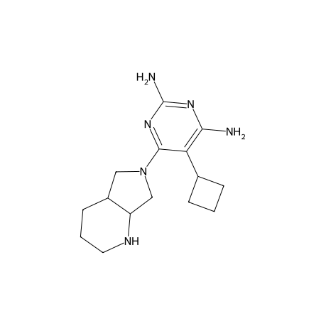 Nc1nc(N)c(C2CCC2)c(N2CC3CCCNC3C2)n1